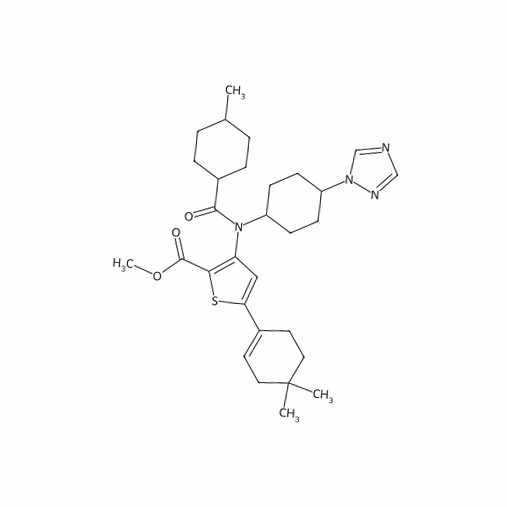 COC(=O)c1sc(C2=CCC(C)(C)CC2)cc1N(C(=O)C1CCC(C)CC1)C1CCC(n2cncn2)CC1